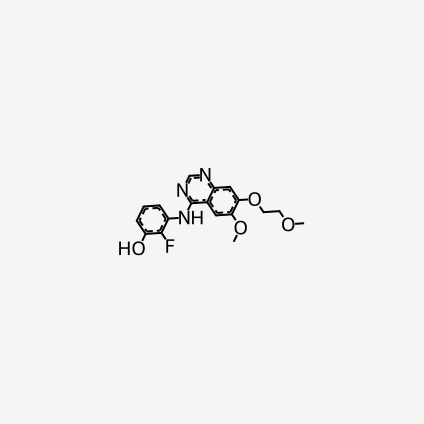 COCCOc1cc2ncnc(Nc3cccc(O)c3F)c2cc1OC